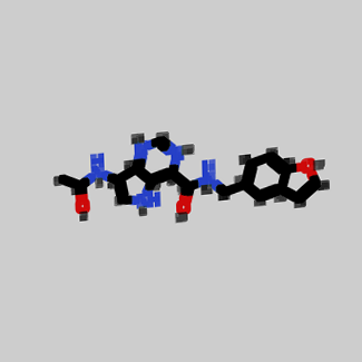 CC(=O)Nc1c[nH]c2c(C(=O)NCc3ccc4occc4c3)ncnc12